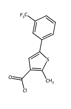 Cc1sc(-c2cccc(C(F)(F)F)c2)cc1C(=O)Cl